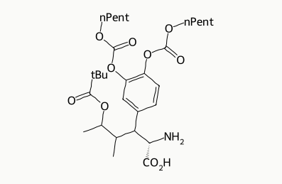 CCCCCOC(=O)Oc1ccc(C(C(C)C(C)OC(=O)C(C)(C)C)[C@H](N)C(=O)O)cc1OC(=O)OCCCCC